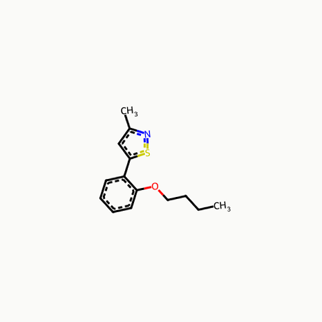 CCCCOc1ccccc1-c1cc(C)ns1